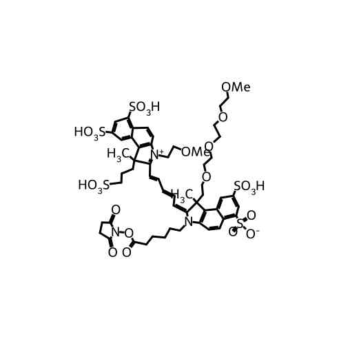 COCCOCCOCCOCCC1(C)\C(=C/C=C/C=C/C2=[N+](CCOC)c3ccc4c(S(=O)(=O)O)cc(S(=O)(=O)O)cc4c3C2(C)CCCS(=O)(=O)O)N(CCCCCC(=O)ON2C(=O)CCC2=O)c2ccc3c(S(=O)(=O)[O-])cc(S(=O)(=O)O)cc3c21